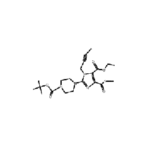 CC#CCn1c(N2CCN(C(=O)OC(C)(C)C)CC2)nc(C(=O)SC)c1C(=O)OCC